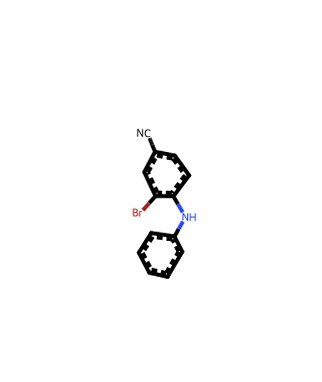 N#Cc1ccc(Nc2ccccc2)c(Br)c1